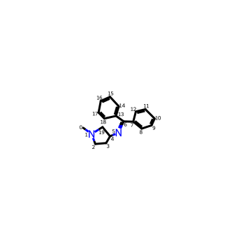 CN1CCC(N=C(c2ccccc2)c2ccccc2)C1